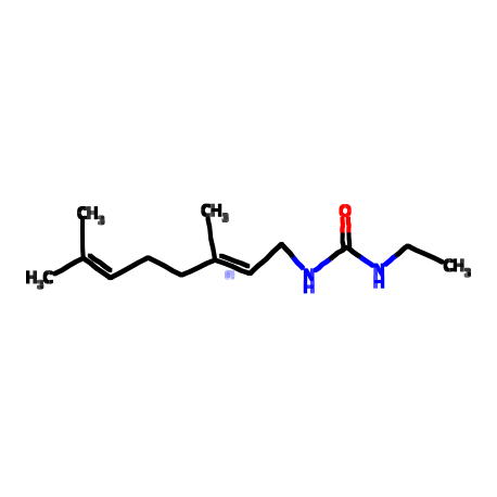 CCNC(=O)NC/C=C(\C)CCC=C(C)C